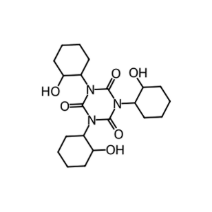 O=c1n(C2CCCCC2O)c(=O)n(C2CCCCC2O)c(=O)n1C1CCCCC1O